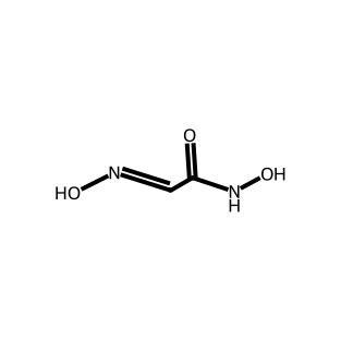 O=C(C=NO)NO